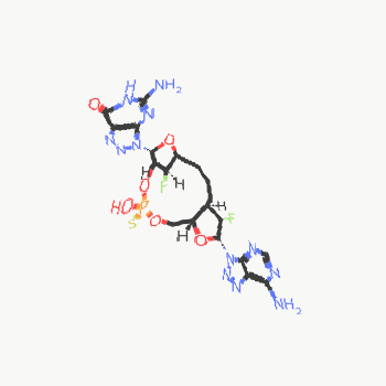 Nc1nc2c(nnn2[C@@H]2OC3CCC[C@H]4[C@H](F)[C@H](n5nnc6c(N)ncnc65)O[C@@H]4COP(O)(=S)O[C@@H]2[C@@H]3F)c(=O)[nH]1